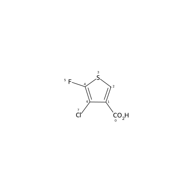 O=C(O)c1csc(F)c1Cl